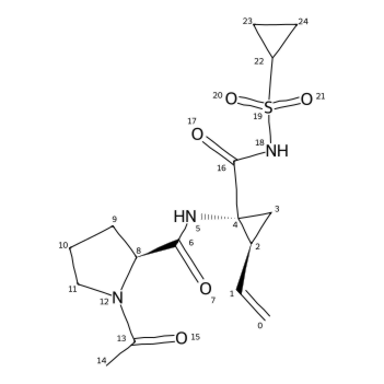 C=C[C@@H]1C[C@]1(NC(=O)[C@@H]1CCCN1C(C)=O)C(=O)NS(=O)(=O)C1CC1